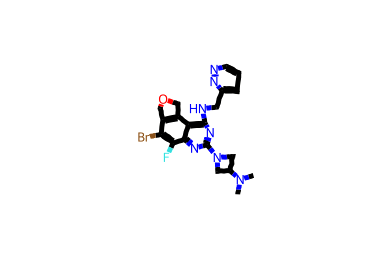 CN(C)C1CN(c2nc(NCc3cccnn3)c3c4c(c(Br)c(F)c3n2)COC4)C1